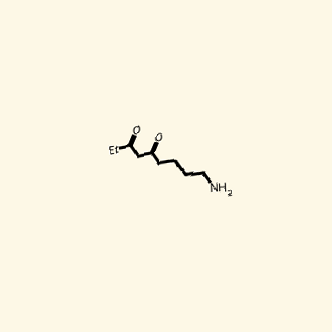 CCC(=O)CC(=O)CCCCN